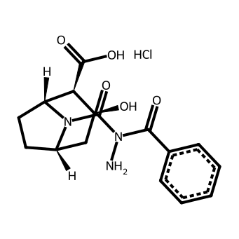 Cl.NN(C(=O)c1ccccc1)C(=O)N1[C@H]2CC[C@@H]1[C@@H](C(=O)O)[C@@H](O)C2